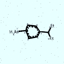 CCC(CC)c1ccc([AsH2])cc1